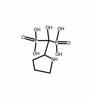 O=P(O)(O)C(O)(C1CCCN1)P(=O)(O)O